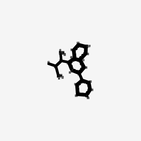 CC(N)C(N)c1nc(-c2ccncc2)cc2cnccc12